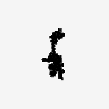 Cn1c(=O)n(C2CCC(=O)NC2=O)c2ccc(CCCCCCC(=O)N3CC[C@H]4CC[C@@H](C(=O)N[C@H](CCC(N)=O)C(=O)NC(c5ccccc5)c5ccccc5)N4C(=O)[C@@H](NC(=O)OC(C)(C)C)C3)cc21